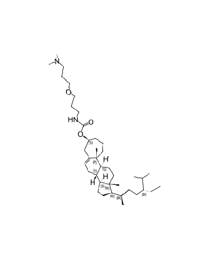 CC[C@H](CC[C@@H](C)[C@H]1CC[C@H]2[C@@H]3CC=C4C[C@@H](OC(=O)NCCCOCCCN(C)C)CCC[C@]4(C)[C@H]3CC[C@]12C)C(C)C